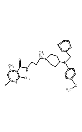 COc1ccc(N(Cc2cccnc2)C2CCN([C@H](C)CCNC(=O)c3c(C)cc(F)nc3C)CC2)cc1